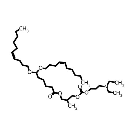 [CH2]C(COC(=O)CCCCC(OCCC/C=C\CCCCC)OCCC/C=C\CCCCC)COC(=O)OCCCN(CC)CC